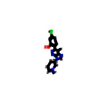 Cc1c(-c2ccc(Cl)cc2O)nnc2c1ncn2[C@@H]1CCCN(C)C1